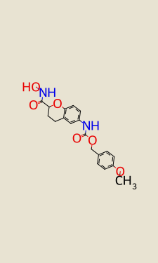 COc1ccc(COC(=O)Nc2ccc3c(c2)CCC(C(=O)NO)O3)cc1